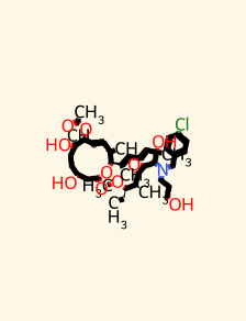 CC[C@H](OC)[C@@H](C)C1OC1C(N(CCCO)Cc1ccc(Cl)cc1)C(C)(O)/C=C/C=C(\C)[C@H]1OC(=O)CC(O)CCC(C)(O)[C@@H](OC(C)=O)/C=C/C1C